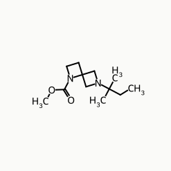 CCC(C)(C)N1CC2(CCN2C(=O)OC)C1